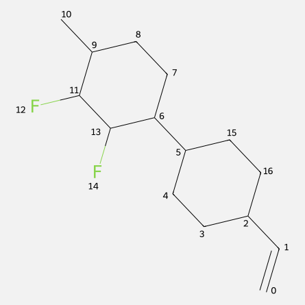 C=CC1CCC(C2CCC(C)C(F)C2F)CC1